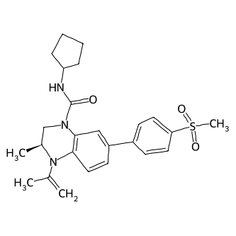 C=C(C)N1c2ccc(-c3ccc(S(C)(=O)=O)cc3)cc2N(C(=O)NC2CCCC2)C[C@@H]1C